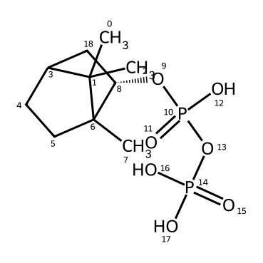 CC1(C)C2CCC1(C)[C@@H](OP(=O)(O)OP(=O)(O)O)C2